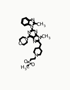 Cc1nc2ccccc2n1-c1nc(N2CCOCC2)c2nc(CC3CCN(CCS(C)(=O)=O)CC3)n(C)c2n1